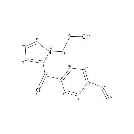 C=Cc1ccc(C(=O)c2cccn2CCCl)cc1